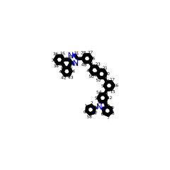 c1ccc(-n2c3ccccc3c3cc(-c4cccc(-c5ccc6cc(-c7cccc(-c8cnc9c%10ccccc%10c%10ccccc%10c9n8)c7)ccc6c5)c4)ccc32)cc1